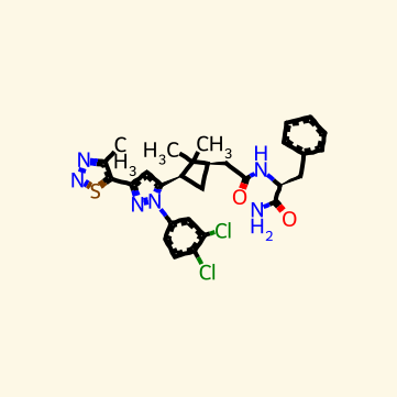 Cc1nnsc1-c1cc([C@@H]2C[C@H](CC(=O)N[C@@H](Cc3ccccc3)C(N)=O)C2(C)C)n(-c2ccc(Cl)c(Cl)c2)n1